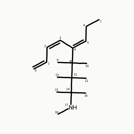 C=C/C=C\C(=C/CC)C(C)(C)C(C)(C)C(C)(C)NC